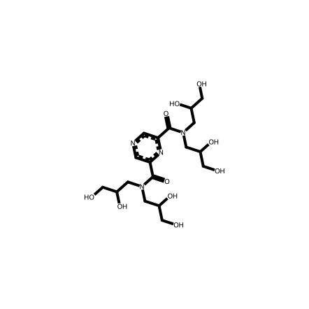 O=C(c1cncc(C(=O)N(CC(O)CO)CC(O)CO)n1)N(CC(O)CO)CC(O)CO